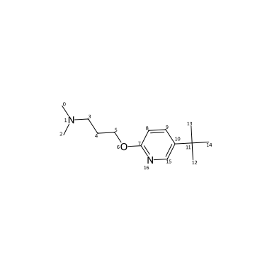 CN(C)CCCOc1ccc(C(C)(C)C)cn1